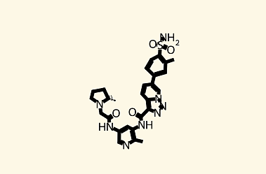 Cc1cc(-c2ccc3c(C(=O)Nc4cc(NC(=O)CN5CCC[C@@H]5C)cnc4C)nnn3c2)ccc1S(N)(=O)=O